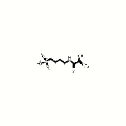 C=C(C)C(=O)NCCCCS(=O)(=O)O